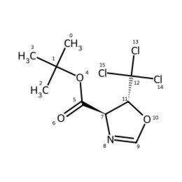 CC(C)(C)OC(=O)[C@@H]1N=CO[C@H]1C(Cl)(Cl)Cl